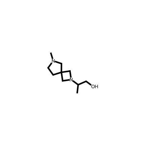 CC(CO)N1CC2(CCN(C)C2)C1